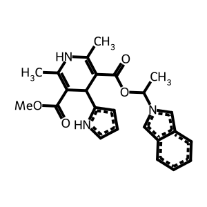 COC(=O)C1=C(C)NC(C)=C(C(=O)OC(C)n2cc3ccccc3c2)C1c1ccc[nH]1